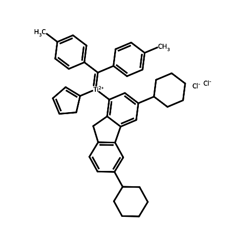 Cc1ccc([C](c2ccc(C)cc2)=[Ti+2]([C]2=CC=CC2)[c]2cc(C3CCCCC3)cc3c2Cc2ccc(C4CCCCC4)cc2-3)cc1.[Cl-].[Cl-]